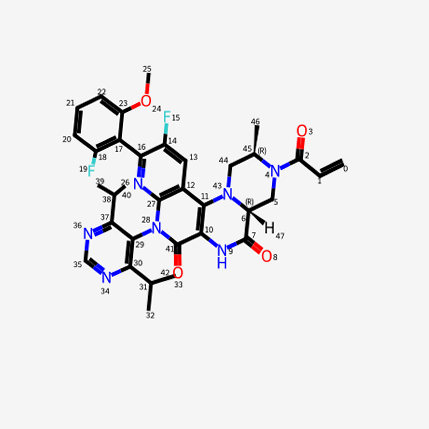 C=CC(=O)N1C[C@@H]2C(=O)Nc3c(c4cc(F)c(-c5c(F)cccc5OC)nc4n(-c4c(C(C)C)ncnc4C(C)C)c3=O)N2C[C@H]1C